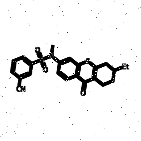 CCC1CCc2c(sc3cc(N(C)S(=O)(=O)c4cccc(C#N)c4)ccc3c2=O)C1